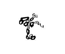 CC(C)(C)c1ccc2c(c1)B1c3ccc(C(C)(C)C)cc3N(c3cccc4ccccc34)c3cccc(c31)N2c1ccc(-c2cccc3c2oc2ccccc23)cc1